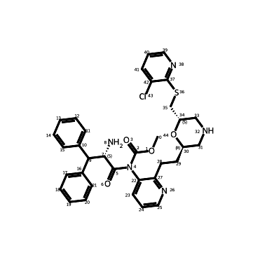 COC(=O)N(C(=O)[C@@H](N)C(c1ccccc1)c1ccccc1)c1cccnc1CC[C@@H]1CNC[C@@H](CSc2ncccc2Cl)O1